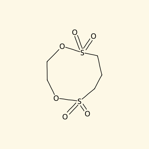 O=S1(=O)CCCS(=O)(=O)OCCO1